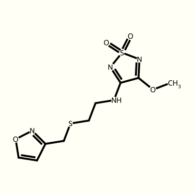 COC1=NS(=O)(=O)N=C1NCCSCc1ccon1